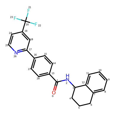 O=C(NC1CCCc2ccccc21)c1ccc(-c2cc(C(F)(F)F)ccn2)cc1